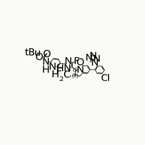 C=C[C@H]1Cc2cc(-c3cc(Cl)ccc3-n3cnnn3)cc(=O)n2[C@@H]1c1[nH]c(-c2ccc(NC(=O)OC(C)(C)C)nc2F)nc1F